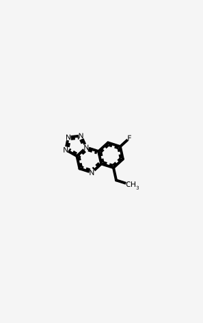 CCc1cc(F)cc2c1ncc1nnnn12